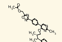 COc1ccc([C@@H](C)[C@H](C)COc2nc(C)ncc2-c2ccc(-c3noc(COC(C)=O)n3)cc2)nc1